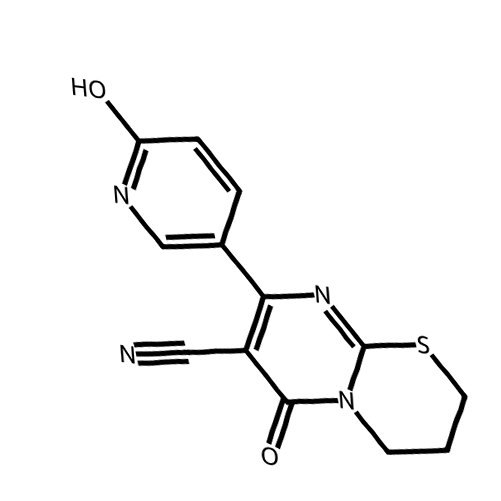 N#Cc1c(-c2ccc(O)nc2)nc2n(c1=O)CCCS2